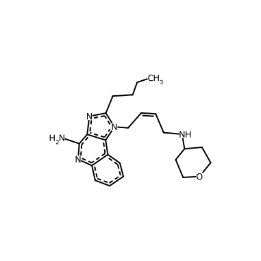 CCCCc1nc2c(N)nc3ccccc3c2n1C/C=C\CNC1CCOCC1